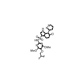 COc1nc(NS(=O)(=O)c2c[nH]c3c(-c4cccnn4)c(Cl)ccc23)nc(OC)c1OCC(F)F